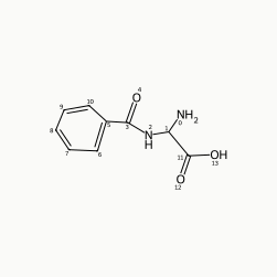 NC(NC(=O)c1ccccc1)C(=O)O